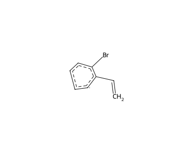 C=Cc1[c]cccc1Br